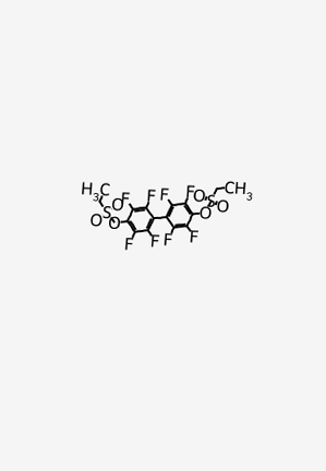 CCS(=O)(=O)Oc1c(F)c(F)c(-c2c(F)c(F)c(OS(=O)(=O)CC)c(F)c2F)c(F)c1F